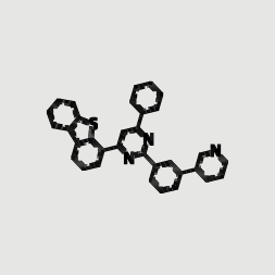 c1ccc(-c2cc(-c3cccc4c3sc3ccccc34)nc(-c3cccc(-c4cccnc4)c3)n2)cc1